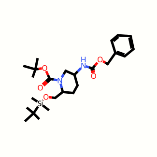 CC(C)(C)OC(=O)N1CC(NC(=O)OCc2ccccc2)CCC1CO[Si](C)(C)C(C)(C)C